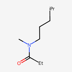 CCC(=O)N(C)CCCC(C)C